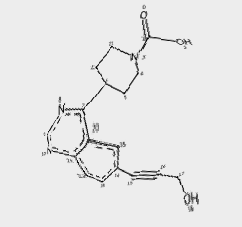 O=C(O)N1CCC(c2ncnc3ccc(C#CCO)cc23)CC1